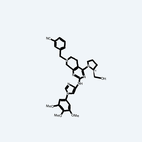 COc1cc(-n2cnc(Nc3nc4c(c(N5CCC[C@H]5CO)n3)CCN(Cc3cccc(C#N)c3)C4)c2)cc(OC)c1OC